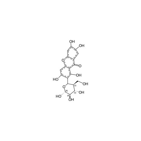 O=c1c2cc(O)c(O)cc2oc2cc(O)c(C3O[C@@H](O)[C@H](O)[C@@H](O)[C@@H]3CO)c(O)c12